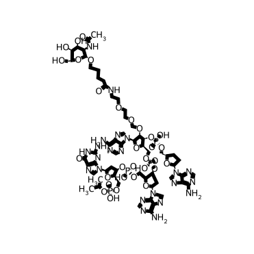 CC(=O)N[C@H]1[C@H](OCCCCC(=O)NCCOCCOCO[C@@H]2[C@H](OP(=O)(O)OC[C@@H]3CC[C@H](n4cnc5c(N)ncnc54)O3)[C@@H](COP(=O)(O)O[C@H]3C[C@H](n4cnc5c(N)ncnc54)OC3COP(=O)(O)O[C@H]3C[C@H](n4cnc5c(=O)[nH]c(N)nc54)O[C@@H]3COP(=O)(O)OC(C)C)O[C@H]2n2cnc3c(N)ncnc32)O[C@H](CO)[C@H](O)[C@@H]1O